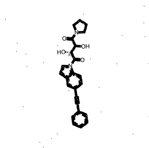 O=C(C(O)[C@@H](O)C(=O)n1ccc2cc(C#Cc3ccccc3)ccc21)N1CCCC1